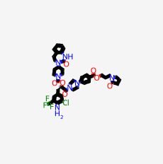 Nc1c(Cl)cc(C[C@@H](OC(=O)N2CCC(N3CCc4ccccc4NC3=O)CC2)C(=O)N2CCN(c3ccc(C(=O)OCCCN4CCCC4=O)cc3)CC2)cc1C(F)(F)F